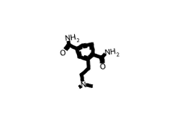 CN(C)CCc1cc(C(N)=O)ccc1C(N)=O